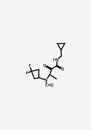 CC(C(=O)C(=O)NCC1CC1)N(C=O)C1CC(F)(F)C1